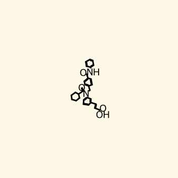 O=C(O)C=Cc1cccc(N(Cc2ccc(C(=O)Nc3ccccc3)cc2)C(=O)C2CCCCC2)c1